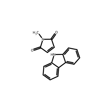 CN1C(=O)C=CC1=O.c1ccc2c(c1)[nH]c1ccccc12